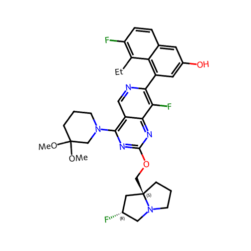 CCc1c(F)ccc2cc(O)cc(-c3ncc4c(N5CCCC(OC)(OC)C5)nc(OC[C@@]56CCCN5C[C@H](F)C6)nc4c3F)c12